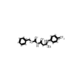 CC[C@H](CC(=O)NC(=O)OCc1ccccc1)Nc1ccc(C(F)(F)F)cc1